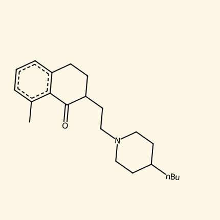 CCCCC1CCN(CCC2CCc3cccc(C)c3C2=O)CC1